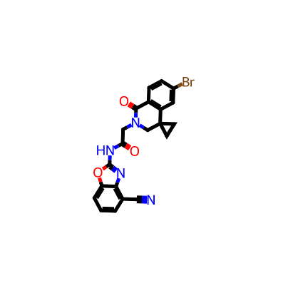 N#Cc1cccc2oc(NC(=O)CN3CC4(CC4)c4cc(Br)ccc4C3=O)nc12